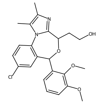 COc1cccc(C2OC(CCO)c3nc(C)c(C)n3-c3ccc(Cl)cc32)c1OC